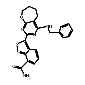 NC(=O)c1cccc2c(-c3nc(NCc4ccccc4)c4c(n3)OCCCC4)snc12